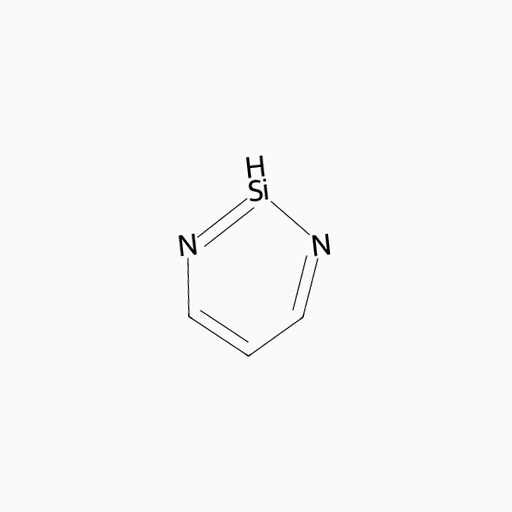 c1cn[siH]nc1